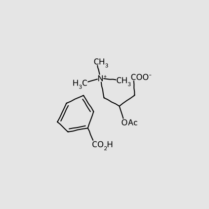 CC(=O)OC(CC(=O)[O-])C[N+](C)(C)C.O=C(O)c1ccccc1